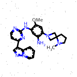 COc1cc(N2CC3(CCCN3C)C2)c(N)cc1Nc1nccc(-c2cnn3ccccc23)n1